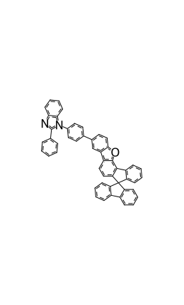 c1ccc(-c2nc3ccccc3n2-c2ccc(-c3ccc4oc5c6c(ccc5c4c3)C3(c4ccccc4-c4ccccc43)c3ccccc3-6)cc2)cc1